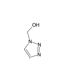 OCn1c[c]nn1